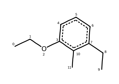 CCOc1cccc(CC)c1C